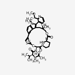 CO[C@@H](C)c1ncccc1-c1c2c3cc(ccc3n1C)-c1csc(n1)C[C@H](NC(=O)[C@H](C(C)C)N(C)C(C)=O)C(=O)N1CCC[C@H](N1)C(=O)OCC(C)(C)C2